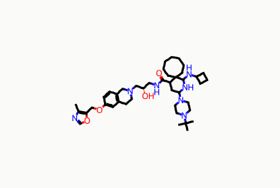 Cc1ncoc1COc1ccc2c(c1)CCN(C[C@@H](O)CNC(=O)C1CC(N3CCN(C(C)(C)C)CC3)NC(NC3CCC3)C13CCCCCCC3)C2